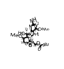 COc1nc(N)nc2c1PCN2[C@](C)(O)C1OP(=O)(SCOC(=O)C(C)(C)C)OCC1OC